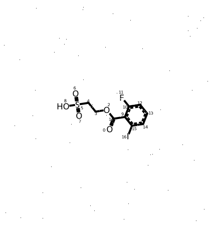 O=C(OCCS(=O)(=O)O)c1c(F)cccc1I